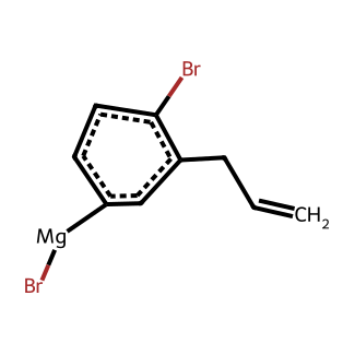 C=CCc1c[c]([Mg][Br])ccc1Br